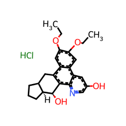 CCOc1cc2c3c(c4ncc(O)cc4c2cc1OCC)[C@@H](O)[C@H]1CCCC1C3.Cl